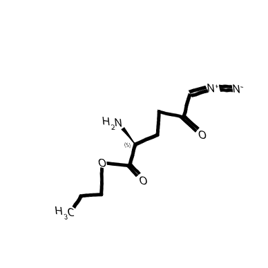 CCCOC(=O)[C@@H](N)CCC(=O)C=[N+]=[N-]